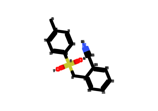 Cc1ccc(S(=O)(=O)Cc2ccccc2C#N)cc1